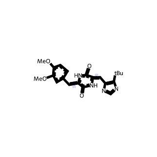 COc1ccc(/C=c2\[nH]c(=O)/c(=C/C3=C(C(C)(C)C)N=C=N3)[nH]c2=O)cc1OC